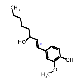 CCCCCC(O)/C=C/c1ccc(O)c(OC)c1